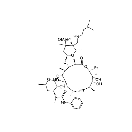 CC[C@H]1OC(=O)[C@H](C)[C@@H](O[C@H]2C[C@@](C)(OC)[C@](O)(CNCCN(C)C)[C@H](C)O2)[C@H](C)[C@@H](O[C@@H]2O[C@H](C)C[C@H](N(C)C(=O)Nc3ccccc3)[C@H]2O)[C@](C)(O)C[C@@H](C)CN[C@H](C)[C@@H](O)[C@]1(C)O